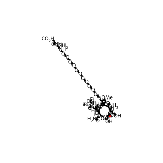 CCC(=O)N[C@H](C(=O)NCC(=O)N[C@@H]1C[S+]([O-])c2[nH]c3c(CSCCOCCOCCOCCOCCOCCOCCOCCOCCOCCOCCOCCN/C=C(\N)CNC(=O)CCC(=O)O)c(OC)ccc3c2C[C@@H](C(N)=O)NC(=O)[C@H]([C@@H](C)[C@@H](O)CO)NC(=O)[C@@H]2C[C@@H](O)CN2C(=O)[C@H](CCC(N)=O)NC1=O)[C@@H](C)CC